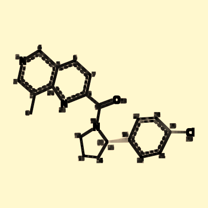 Cc1cncc2ccc(C(=O)N3CCC[C@H]3c3ccc(Cl)cc3)nc12